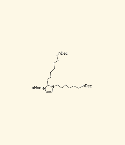 CCCCCCCCCCCCCCCCCC1N(CCCCCCCCC)C=CN1CCCCCCCCCCCCCCCC